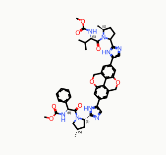 COC(=O)N[C@H](C(=O)N1C(c2ncc(-c3cc4c5c(c3)OCc3cc(-c6cnc([C@@H]7C[C@H](C)CN7C(=O)[C@H](NC(=O)OC)c7ccccc7)[nH]6)cc(c3-5)OC4)[nH]2)CC[C@@H]1C)C(C)C